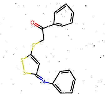 O=C(CSc1cc(=Nc2ccccc2)ss1)c1ccccc1